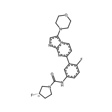 O=C(Nc1ccc(F)c(-c2ccn3c(N4CCOCC4)cnc3n2)c1)N1CC[C@H](F)C1